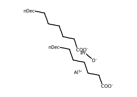 CC(C)[O-].CCCCCCCCCCCCCCCC(=O)[O-].CCCCCCCCCCCCCCCC(=O)[O-].[Al+3]